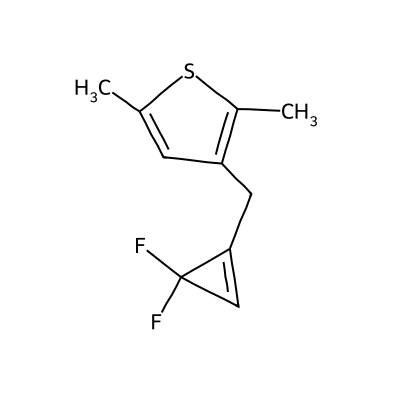 Cc1cc(CC2=CC2(F)F)c(C)s1